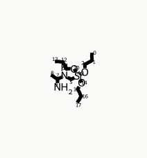 CCCO[Si](CNC(C)N)(OCCC)OCCC